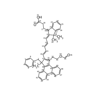 CC1(Cc2ccccc2)C(/C=C/C=C/C=C2/N(CCC(=O)O)c3ccccc3C2(C)C)=[N+](CCOC=O)c2c1c1ccccc1c1ccccc21